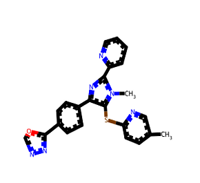 Cc1ccc(Sc2c(-c3ccc(-c4nnco4)cc3)nc(-c3ccccn3)n2C)nc1